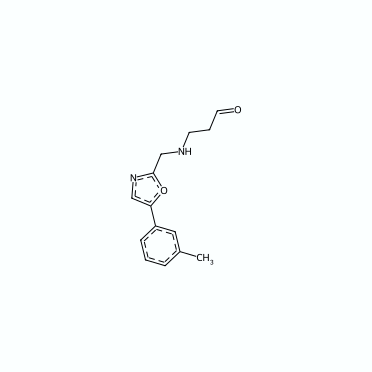 Cc1cccc(-c2cnc(CNCCC=O)o2)c1